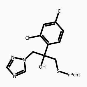 CCCCCSCC(O)(Cn1cncn1)c1ccc(Cl)cc1Cl